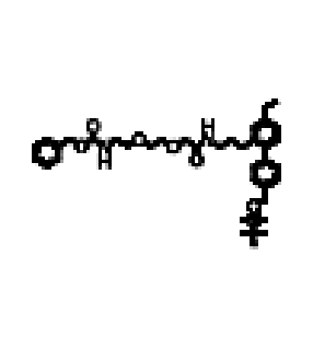 CCc1ccc(-c2ccc(CO[Si](C)(C)C(C)(C)C)cc2)c(CCCNC(=O)COCCOCCNC(=O)OCc2ccccc2)c1